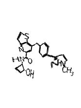 Cn1ccc(-c2ccc(Cc3cc(C(=O)N[C@@H]4CC[C@H]4O)nc4ccsc34)cc2)n1